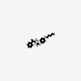 C=C(C(=O)OC(F)(F)Oc1ccc(OCCCCF)cc1)c1ccccc1